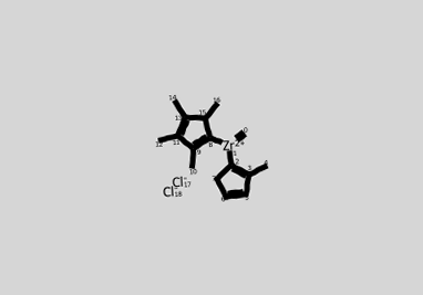 [CH2]=[Zr+2]([C]1=C(C)C=CC1)[C]1=C(C)C(C)=C(C)C1C.[Cl-].[Cl-]